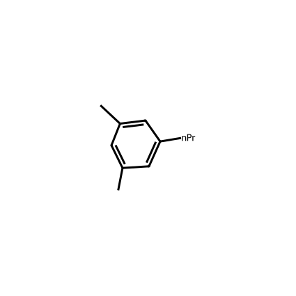 C[CH]Cc1cc(C)cc(C)c1